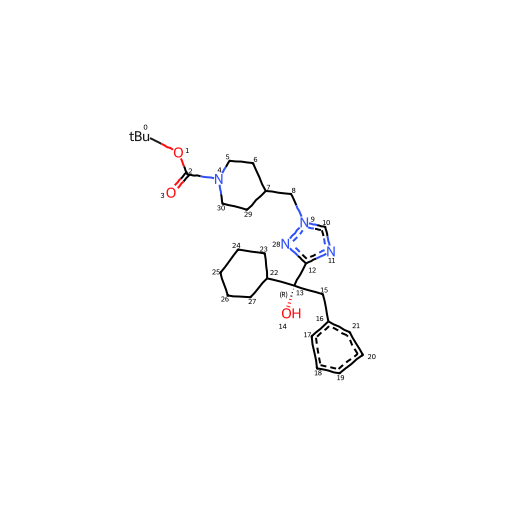 CC(C)(C)OC(=O)N1CCC(Cn2cnc([C@@](O)(Cc3ccccc3)C3CCCCC3)n2)CC1